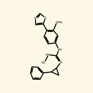 COc1cc(NC(=NC2CC2c2ccccc2)NC#N)ccc1-c1cnco1